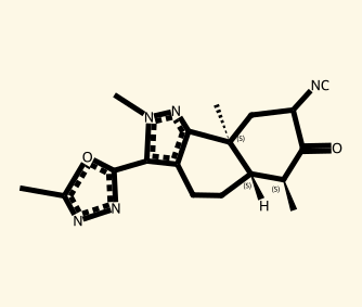 [C-]#[N+]C1C[C@]2(C)c3nn(C)c(-c4nnc(C)o4)c3CC[C@H]2[C@H](C)C1=O